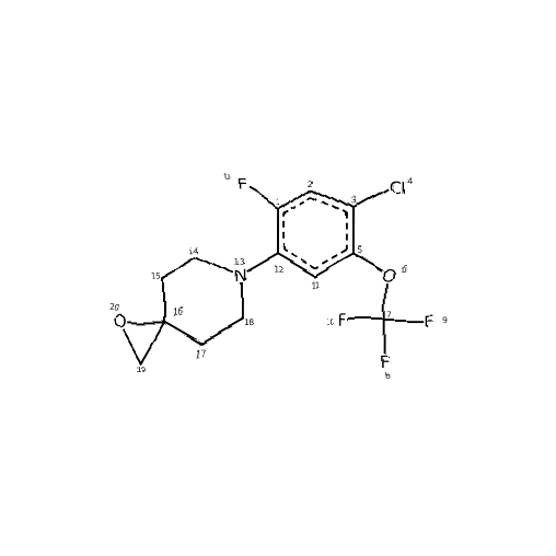 Fc1cc(Cl)c(OC(F)(F)F)cc1N1CCC2(CC1)CO2